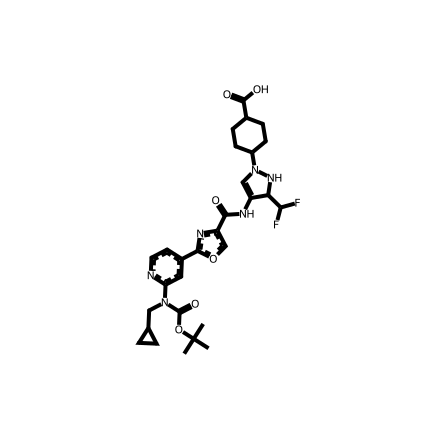 CC(C)(C)OC(=O)N(CC1CC1)c1cc(-c2nc(C(=O)NC3=CN(C4CCC(C(=O)O)CC4)NC3C(F)F)co2)ccn1